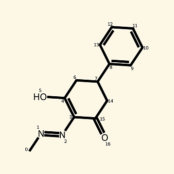 C/N=N/C1=C(O)CC(c2ccccc2)CC1=O